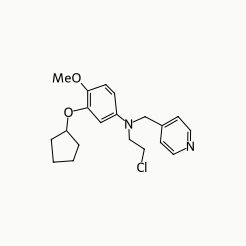 COc1ccc(N(CCCl)Cc2ccncc2)cc1OC1CCCC1